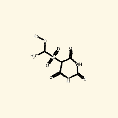 CCOC(C)S(=O)(=O)C1C(=O)NC(=O)NC1=O